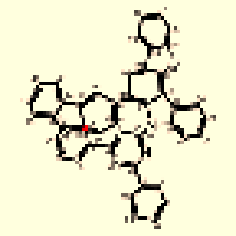 c1ccc(-c2nc(-c3ccccc3)nc(-n3c4ccccc4c4c5oc6ccccc6c5cc(-c5ccc6sc7ccccc7c6c5)c43)n2)cc1